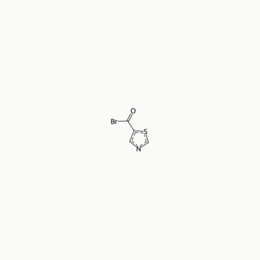 O=C(Br)c1cncs1